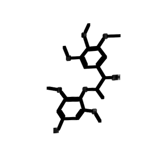 COc1cc(C(O)C(C)Oc2c(OC)cc(Br)cc2OC)cc(OC)c1OC